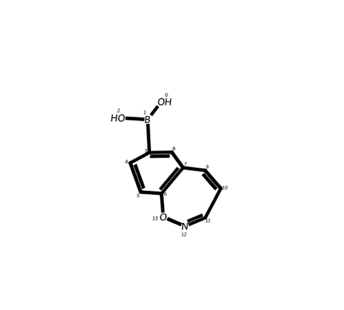 OB(O)c1ccc2c(c1)C=CC=NO2